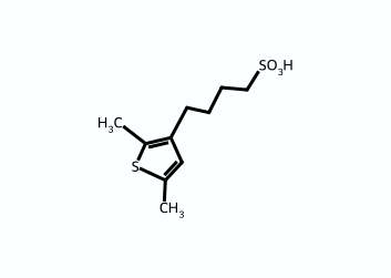 Cc1cc(CCCCS(=O)(=O)O)c(C)s1